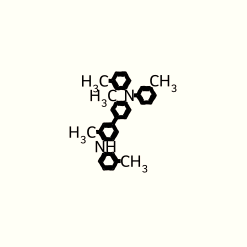 Cc1cccc(Nc2ccc(-c3ccc(N(c4cccc(C)c4)c4cccc(C)c4)c(C)c3)cc2C)c1